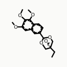 CCC12COC(c3ccc4c(OC)c(OC)c(OC)cc4c3)(OC1)OC2